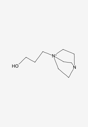 OCCC[N+]12CCN(CC1)CC2